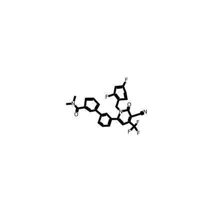 CN(C)C(=O)c1cccc(-c2cccc(-c3cc(C(F)(F)F)c(C#N)c(=O)n3Cc3ccc(F)cc3F)c2)c1